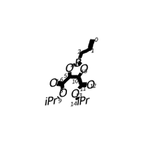 C=CCB1OC(C(=O)OC(C)C)C(C(=O)OC(C)C)O1